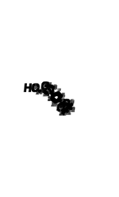 CC1(C)OB(c2ccc(N3CCO[C@@H](CO)C3)cc2)OC1(C)C